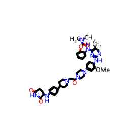 COc1cc(N2CCN(C(=O)CN3CCC(c4ccc(NC5CCC(=O)NC5=O)cc4)CC3)CC2)ccc1Nc1ncc(C(F)(F)F)c(Nc2ccccc2OC(=O)N(C)C)n1